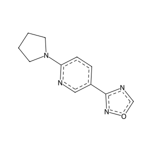 c1nc(-c2ccc(N3CCCC3)nc2)no1